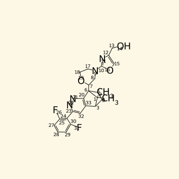 CC1(C)C2CCC1(C1CN(c3nc(CO)co3)CCO1)c1nnc(-c3c(F)cccc3F)cc12